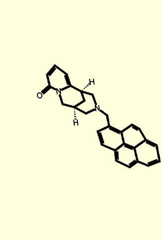 O=c1cccc2n1C[C@H]1C[C@@H]2CN(Cc2ccc3ccc4cccc5ccc2c3c45)C1